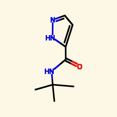 CC(C)(C)NC(=O)c1ccn[nH]1